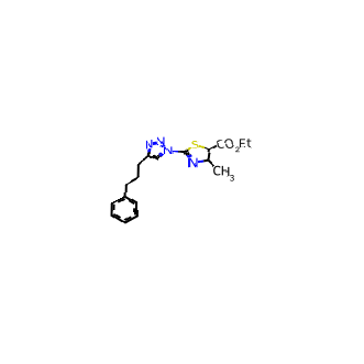 CCOC(=O)C1SC(n2cc(CCCc3ccccc3)nn2)=NC1C